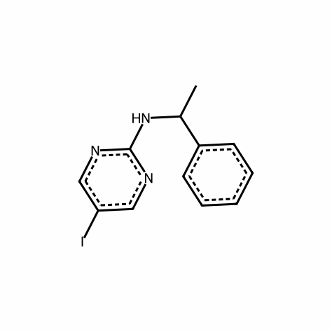 CC(Nc1ncc(I)cn1)c1ccccc1